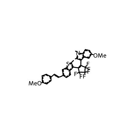 COc1ccc(C=Cc2ccc3c(C4=C(c5c(C)n(C)c6ccc(OC)cc56)C(F)(F)C(F)(F)C4(F)F)c(C)sc3c2)cc1